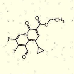 CCOC(=O)c1cc(C2CC2)c2c(C=O)c(F)c(F)cn2c1=O